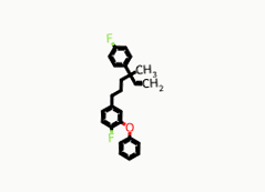 C=CC(C)(CCCc1ccc(F)c(Oc2ccccc2)c1)c1ccc(F)cc1